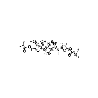 CC(C)C(=O)OCC1OC(n2cnc3c(N[C@@H]4CCC(OC(=O)C(C)C)C4)ncnc32)[C@H](O)[C@@H]1O